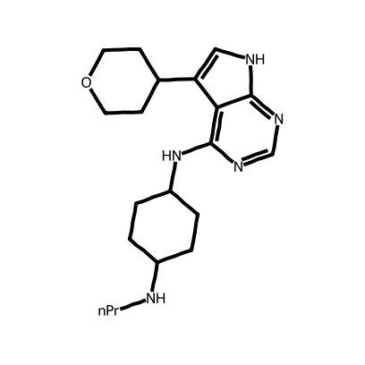 CCCNC1CCC(Nc2ncnc3[nH]cc(C4CCOCC4)c23)CC1